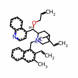 C=CCO[C@H](c1ccnc2ccccc12)C1CC2CC[N@@+]1(Cc1c(C=C)c(C)cc3ccccc13)CC2C=C